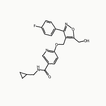 O=C(NCC1CC1)c1ccc(OCc2c(-c3ccc(F)cc3)noc2CO)nc1